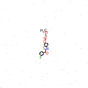 COCCOCOc1ccc2nc(C(=O)c3cccc(F)c3)sc2c1